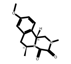 COc1ccc2c(c1)C[C@H](C)N1C(=O)C(=O)N(C)C[C@@H]21